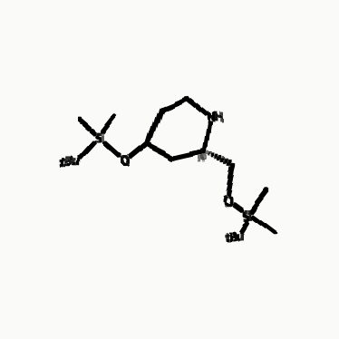 CC(C)(C)[Si](C)(C)OC[C@@H]1CC(O[Si](C)(C)C(C)(C)C)CCN1